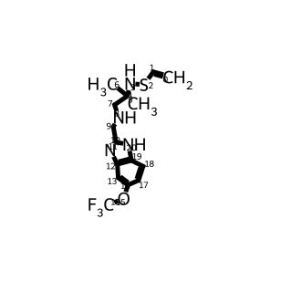 C=CSNC(C)(C)CNCc1nc2cc(OC(F)(F)F)ccc2[nH]1